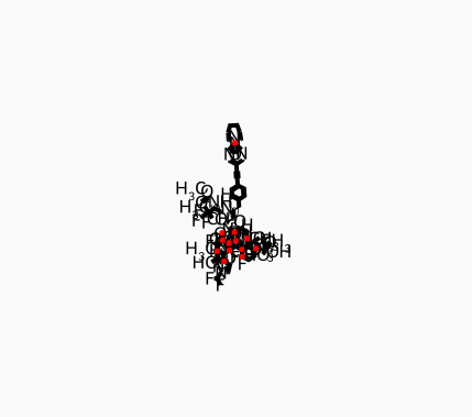 COC(=O)N[C@H](C(=O)N[C@@H](Cc1ccc(C#Cc2cnc(N3CC4CCC(C3)N4C3COC3)nc2)cc1)[C@H](CN(Cc1c(F)cc(-c2ccn(C(F)F)n2)cc1F)NC(=O)[C@@H](NC(=O)OC)C(C)(C)C(F)(F)F)OC(=O)CC(C)(C)c1c(CC(=O)N([C@H](C)C(=O)O)S(=O)(=O)O)cccc1OP(=O)(O)O)C(C)(C)C(F)(F)F